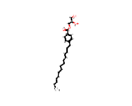 CCCCCCCCCCC=CCCCc1ccc(C(=O)OCC(O)CO)cc1